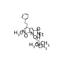 CCNC(=O)c1cc2c(CCc3ccccc3)cn(C)c(=O)c2n1COCC[Si](C)(C)C